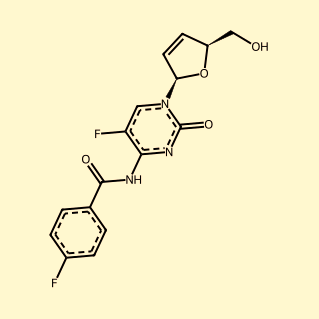 O=C(Nc1nc(=O)n([C@H]2C=C[C@@H](CO)O2)cc1F)c1ccc(F)cc1